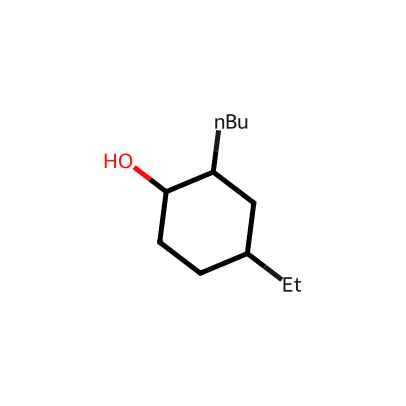 CCCCC1CC(CC)CCC1O